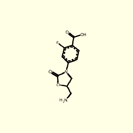 NCC1CN(c2ccc(C(=O)O)c(F)c2)C(=O)O1